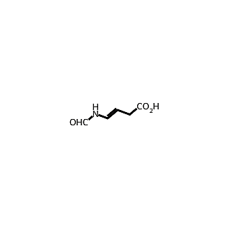 O=CNC=CCC(=O)O